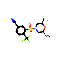 C[C@@H]1CN(S(=O)(=O)c2cc(C#N)ccc2C(F)(F)F)C[C@H](C)O1